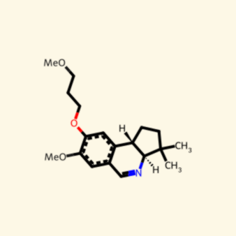 COCCCOc1cc2c(cc1OC)C=N[C@H]1[C@H]2CCC1(C)C